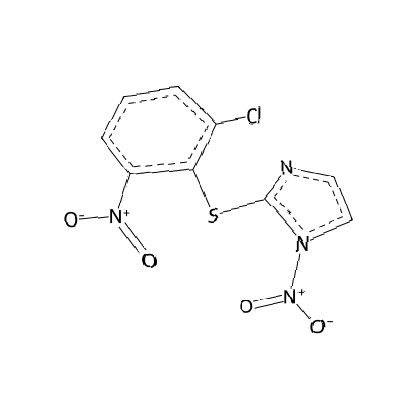 O=[N+]([O-])c1cccc(Cl)c1Sc1nccn1[N+](=O)[O-]